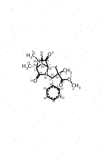 COC(=O)[C@@]1(C)C[C@]23C(=O)N(C)[C@](C)(C(=O)N2[C@H]1c1cccnc1)S3=S